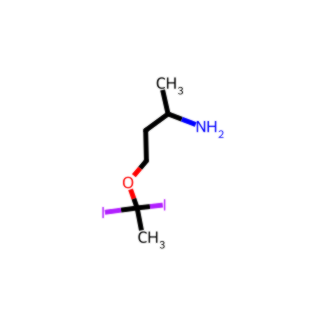 CC(N)CCOC(C)(I)I